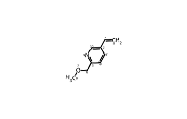 C=Cc1ccc(COC)nc1